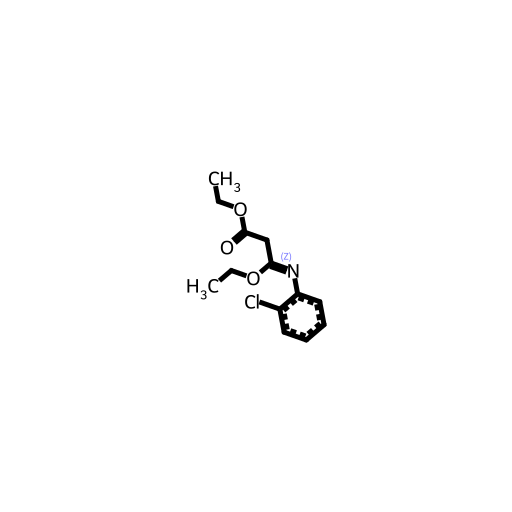 CCOC(=O)C/C(=N/c1ccccc1Cl)OCC